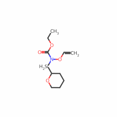 C=CON([SiH2]C1CCCCO1)C(=O)OCC